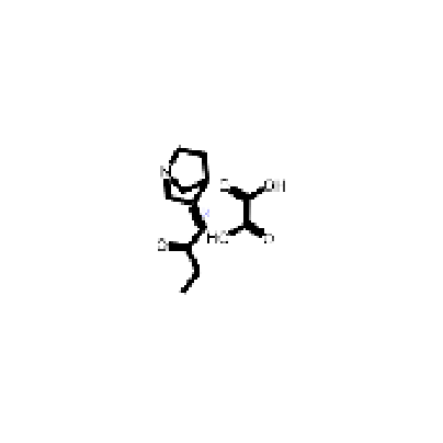 CCC(=O)/C=C1\CN2CCC1C2.O=C(O)C(=O)O